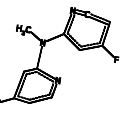 CN(c1cc(F)ccn1)c1cc(F)ccn1